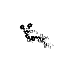 CCC1OC(c2ccc(C)c(Cc3ccc(CCCC(=O)NC(C)(C)C(=O)NCCN(C)C)cc3)c2)CC(OCc2ccccc2)[C@@H]1OCc1ccccc1